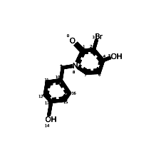 O=c1c(Br)c(O)ccn1Cc1ccc(O)cc1